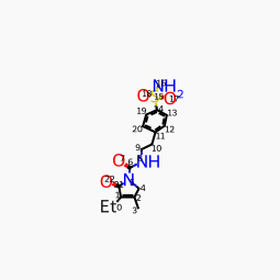 CCC1=C(C)CN(C(=O)NCCc2ccc(S(N)(=O)=O)cc2)C1=O